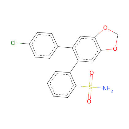 NS(=O)(=O)c1ccccc1-c1cc2c(cc1-c1ccc(Cl)cc1)OCO2